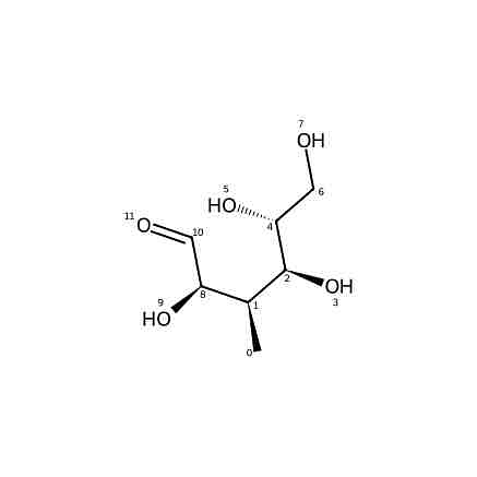 C[C@H]([C@H](O)[C@H](O)CO)[C@@H](O)C=O